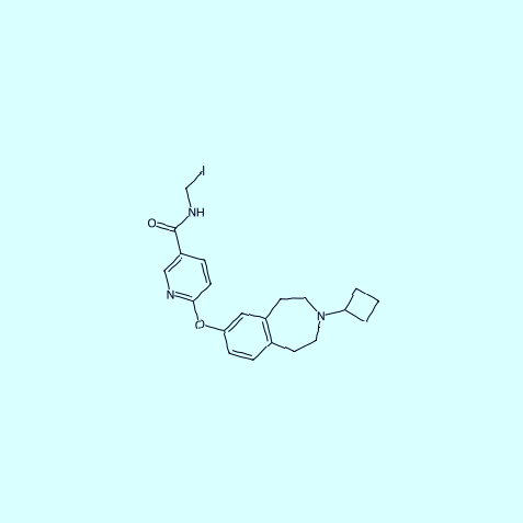 O=C(NCI)c1ccc(Oc2ccc3c(c2)CCN(C2CCC2)CC3)nc1